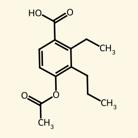 CCCc1c(OC(C)=O)ccc(C(=O)O)c1CC